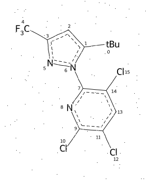 CC(C)(C)c1cc(C(F)(F)F)nn1-c1nc(Cl)c(Cl)cc1Cl